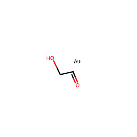 O=CCO.[Au]